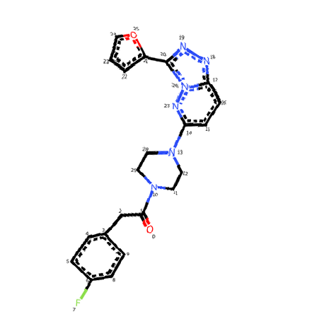 O=C(Cc1ccc(F)cc1)N1CCN(c2ccc3nnc(-c4ccco4)n3n2)CC1